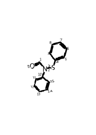 O=CN(Sc1ccccc1)c1ccccc1